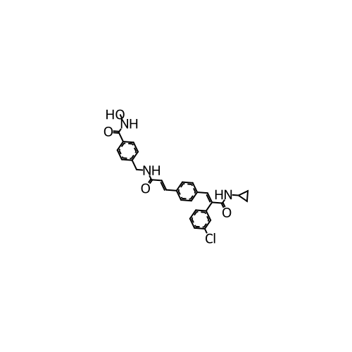 O=C(C=Cc1ccc(/C=C(/C(=O)NC2CC2)c2cccc(Cl)c2)cc1)NCc1ccc(C(=O)NO)cc1